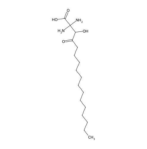 CCCCCCCCCCCCCC(=O)C(O)C(N)(N)C(=O)O